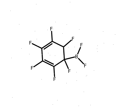 FB(F)C1(F)C(F)=C(F)C(F)=C(F)C1F